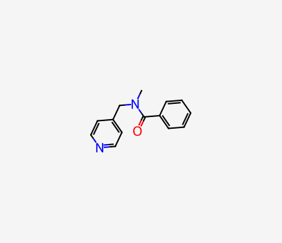 CN(Cc1ccncc1)C(=O)c1ccccc1